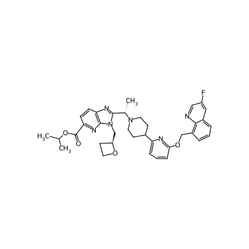 CC(C)OC(=O)c1ccc2nc([C@H](C)N3CCC(c4cccc(OCc5cccc6cc(F)cnc56)n4)CC3)n(C[C@@H]3CCO3)c2n1